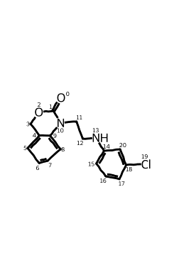 O=C1OCc2ccccc2N1CCNc1cccc(Cl)c1